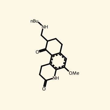 CCCCNCC1CCc2cc(OC)c3c(c2C1=O)CCC(=O)N3